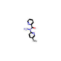 CCCCc1ccc(N(N)C(=O)c2ccccn2)nc1